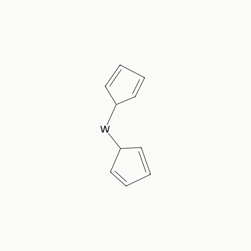 C1=C[CH]([W][CH]2C=CC=C2)C=C1